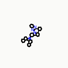 c1ccc2c(c1)-c1nc3ccccc3nc1-n1c3ccc(-n4c5ccc6ccccc6c5c5c6ccccc6ccc54)cc3c3cccc-2c31